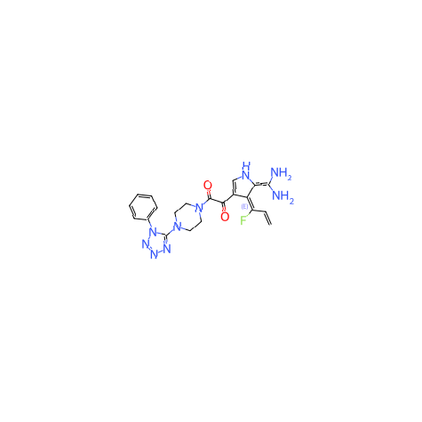 C=C/C(F)=c1/c(C(=O)C(=O)N2CCN(c3nnnn3-c3ccccc3)CC2)c[nH]c1=C(N)N